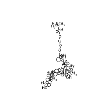 CC(C)[C@H](NC(=O)NC(=O)COC1CCCCCC2=C1NNN2CCOCCOCCOCCOCCC(=O)NCC[N+](C)(C)C)C(=O)N[C@@H](C)C(=O)N[C@@H](CO)C(=O)Nc1ccc2c(c1)[C@@]1(C)CCC[C@](C)(C(=O)NC(=O)[C@@]3(C)CCC[C@]4(C)c5cc(O)ccc5CC[C@@H]34)[C@@H]1CC2